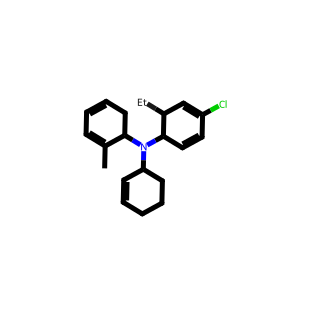 CCC1C=C(Cl)C=CC1N(C1C=CCCC1)C1CC=CC=C1C